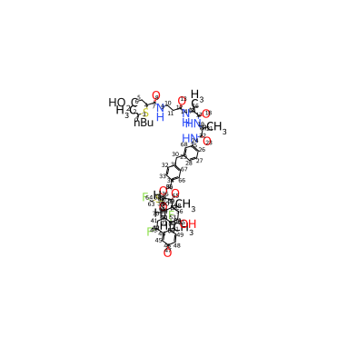 CCCCC(C)SC(CC(=O)O)C(=O)NCCC(=O)N[C@@H](C)C(=O)N[C@@H](C)C(=O)Nc1cccc(Cc2ccc([C@@H]3O[C@@H]4C[C@H]5[C@@H]6C[C@H](F)C7=CC(=O)C=C[C@]7(C)[C@@]6(F)[C@@H](O)C[C@]5(C)[C@]4(C(=O)SCF)O3)cc2)c1